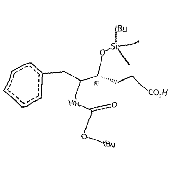 CC(C)(C)OC(=O)NC(Cc1ccccc1)[C@@H](CCC(=O)O)O[Si](C)(C)C(C)(C)C